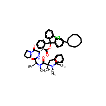 CC(C)[C@@H](C(=O)N[C@@H](CC(=O)OC(c1ccccc1)(c1ccc(C2CCCCCCCC2)cc1)c1ccccc1Cl)C(=O)N1CCCC1)N(C)C(=O)[C@](C)(Cc1ccccc1)N(C)C(=O)C(F)(F)F